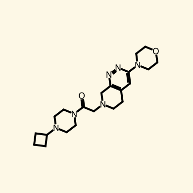 O=C(CN1CCc2cc(N3CCOCC3)nnc2C1)N1CCN(C2CCC2)CC1